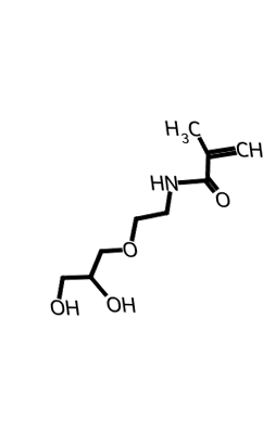 C=C(C)C(=O)NCCOCC(O)CO